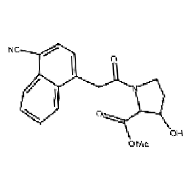 COC(=O)C1C(O)CCN1C(=O)Cc1ccc(C#N)c2ccccc12